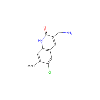 COc1cc2[nH]c(=O)c(CN)cc2cc1Cl